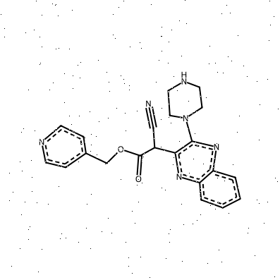 N#CC(C(=O)OCc1ccncc1)c1nc2ccccc2nc1N1CCNCC1